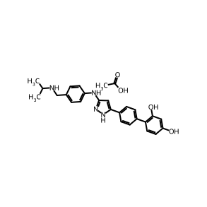 CC(=O)O.CC(C)NCc1ccc(Nc2cc(-c3ccc(-c4ccc(O)cc4O)cc3)[nH]n2)cc1